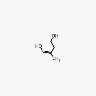 CC(CCO)=NO